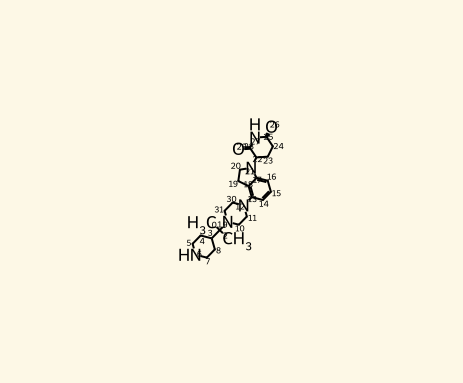 CC(C)(C1CCNCC1)N1CCN(c2cccc3c2CCN3C2CCC(=O)NC2=O)CC1